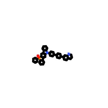 O=P1(c2ccccc2)c2ccccc2-c2cc3c(cc21)c1ccccc1n3-c1ccc(-c2ccc(-c3ccc4cccnc4c3)cc2)cc1